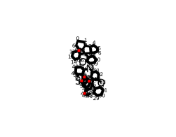 C1=CC2c3ccccc3C3(c4ccccc4Oc4c(N(c5ccc6c(c5)C5(c7ccccc7O6)c6ccccc6-c6ccccc65)c5cccc6sc7ccccc7c56)cccc43)C2C=C1